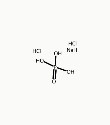 Cl.Cl.O=P(O)(O)O.[NaH]